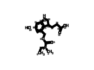 CCN(C)C(=O)OCc1cccc2c1C(CCC(=O)O)CN2.Cl